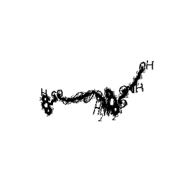 CN(CCC=C1c2ccccc2CCc2ccccc21)C(=O)CCOCCOCCOCCOCCN(N)/C1=C(\N)c2ccccc2N(C(=O)CCC(=O)NCCCCCCO)Cc2ccccc21